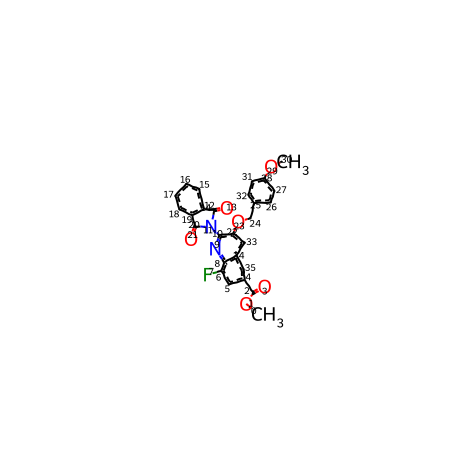 COC(=O)c1cc(F)c2nc(N3C(=O)c4ccccc4C3=O)c(OCc3ccc(OC)cc3)cc2c1